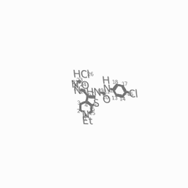 CCN1CCc2c(sc(NC(=O)Nc3ccc(Cl)cc3)c2-c2nnco2)C1.Cl